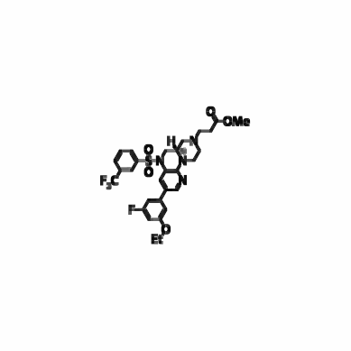 CCOc1cc(F)cc(-c2cnc3c(c2)N(S(=O)(=O)c2cccc(C(F)(F)F)c2)C[C@@H]2CN(CCC(=O)OC)CCN32)c1